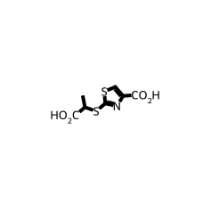 CC(Sc1nc(C(=O)O)cs1)C(=O)O